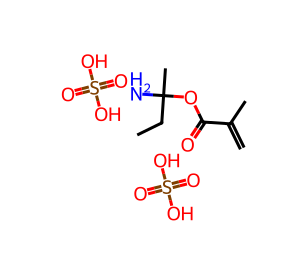 C=C(C)C(=O)OC(C)(N)CC.O=S(=O)(O)O.O=S(=O)(O)O